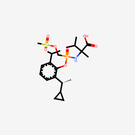 CC(C)c1cccc([C@H](C)C2CC2)c1OP(=O)(COS(C)(=O)=O)NC(C)(C(=O)O)C(C)C